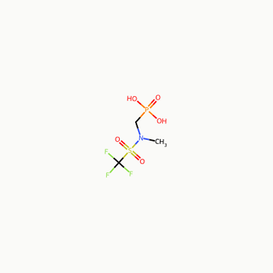 CN(CP(=O)(O)O)S(=O)(=O)C(F)(F)F